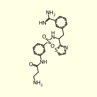 N=C(N)c1cccc(CC(NS(=O)(=O)c2cccc(NC(=O)CCN)c2)c2nccs2)c1